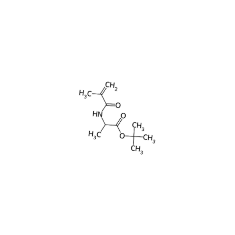 C=C(C)C(=O)NC(C)C(=O)OC(C)(C)C